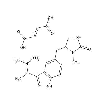 CC(c1c[nH]c2ccc(CC3CNC(=O)N3C)cc12)N(C)C.O=C(O)C=CC(=O)O